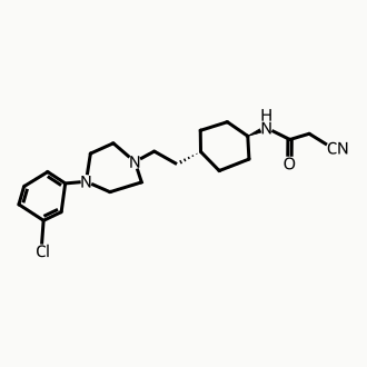 N#CCC(=O)N[C@H]1CC[C@H](CCN2CCN(c3cccc(Cl)c3)CC2)CC1